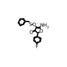 NC1=C(OSCc2ccccc2)C(=O)C(c2ccc(F)cc2)O1